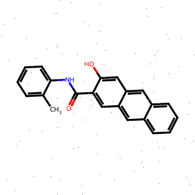 Cc1ccccc1NC(=O)c1cc2cc3ccccc3cc2cc1O